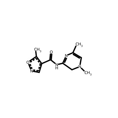 CC1=CN(C)CC(NC(=O)c2cnoc2C)=N1